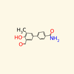 Cc1cc(-c2ccc(C(N)=O)cc2)cc(C=O)c1O